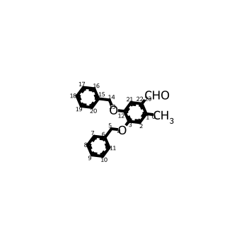 Cc1cc(OCc2ccccc2)c(OCc2ccccc2)cc1C=O